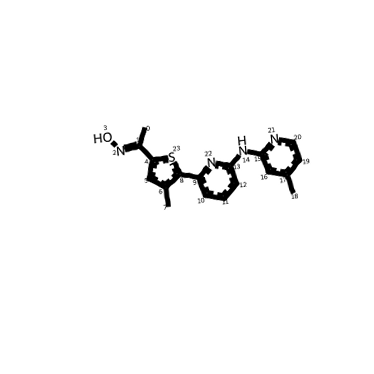 C/C(=N\O)c1cc(C)c(-c2cccc(Nc3cc(C)ccn3)n2)s1